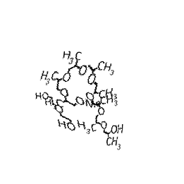 COCC(C)OCC(C)OCC(C)OCC(C)OCC(C)OCC(C)OCC(C)OCC(C)O.OCCOCCO